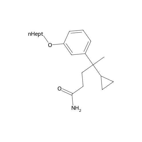 CCCCCCCOc1cccc(C(C)(CCC(N)=O)C2CC2)c1